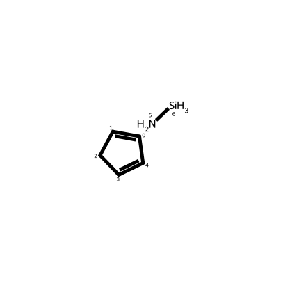 C1=CCC=C1.N[SiH3]